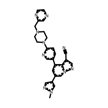 Cn1cc(-c2cc(-c3ccc(N4CCN(Cc5cnccn5)CC4)nc3)c3c(C#N)cnn3c2)cn1